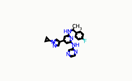 C[C@H](Nc1cc(-c2cnn(C3CC3)c2)cc(Nc2cnccn2)n1)c1ccc(F)cc1